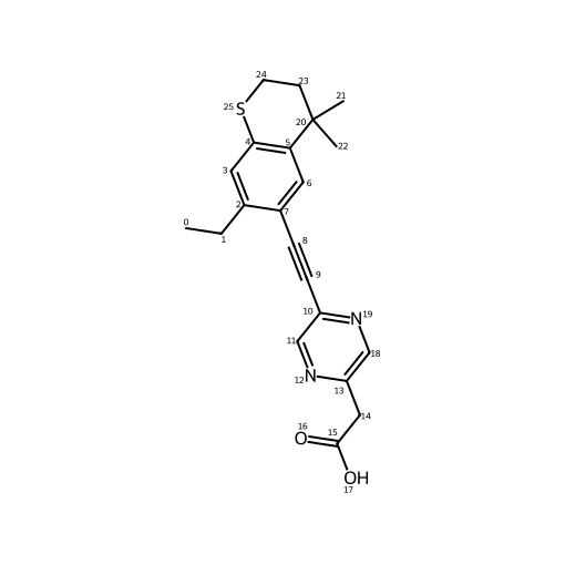 CCc1cc2c(cc1C#Cc1cnc(CC(=O)O)cn1)C(C)(C)CCS2